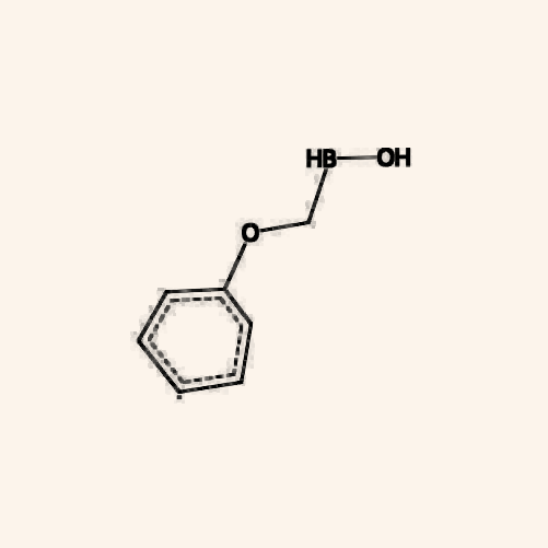 OBCOc1cc[c]cc1